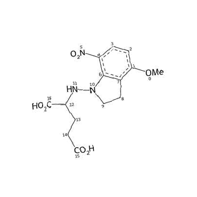 COc1ccc([N+](=O)[O-])c2c1CCN2NC(CCC(=O)O)C(=O)O